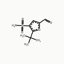 CC(C)(C)c1oc(C=O)cc1S(N)(=O)=O